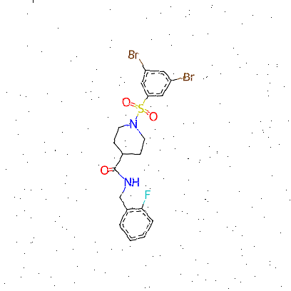 O=C(NCc1ccccc1F)C1CCN(S(=O)(=O)c2cc(Br)cc(Br)c2)CC1